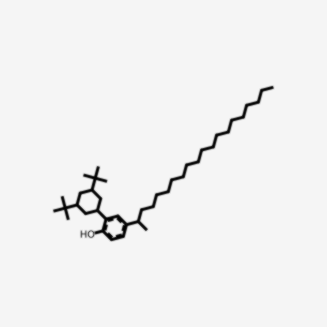 CCCCCCCCCCCCCCCCCCC(C)c1ccc(O)c(C2CC(C(C)(C)C)CC(C(C)(C)C)C2)c1